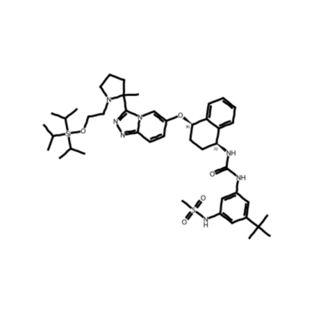 CC(C)[Si](OCCN1CCCC1(C)c1nnc2ccc(O[C@@H]3CC[C@H](NC(=O)Nc4cc(NS(C)(=O)=O)cc(C(C)(C)C)c4)c4ccccc43)cn12)(C(C)C)C(C)C